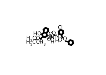 CC(C)(C)OC(=O)c1cc(S(=O)(=O)NC(=O)Nc2cc(Cl)ccc2C(=O)OCc2ccccc2)c2ccccc2c1O